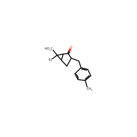 CCC1(C(=O)O)C2CC(Cc3ccc(C)cc3)C(=O)C21